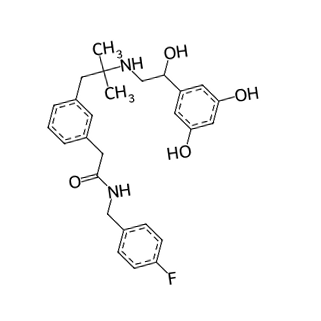 CC(C)(Cc1cccc(CC(=O)NCc2ccc(F)cc2)c1)NCC(O)c1cc(O)cc(O)c1